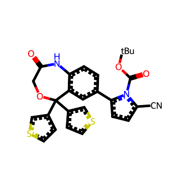 CC(C)(C)OC(=O)n1c(C#N)ccc1-c1ccc2c(c1)C(c1ccsc1)(c1ccsc1)OCC(=O)N2